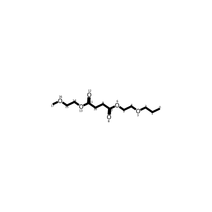 CCCOCCOC(=O)CCC(=O)OCCOC